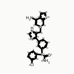 NC(=O)N(c1cccc(Cl)c1)c1cccc(-c2nc[nH]c2CN2C=C(N)c3ccsc3C2)c1